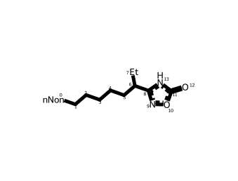 CCCCCCCCCCCCCCC(CC)c1noc(=O)[nH]1